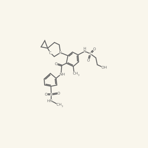 CNS(=O)(=O)c1cccc(NC(=O)c2c(C)cc(NS(=O)(=O)CCO)cc2N2CCC3(CC2)CC3)c1